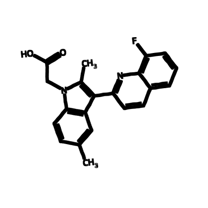 Cc1ccc2c(c1)c(-c1ccc3cccc(F)c3n1)c(C)n2CC(=O)O